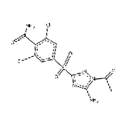 CC(=O)n1nc(S(=O)(=O)c2cc(Cl)c(C(N)=O)c(Cl)c2)nc1N